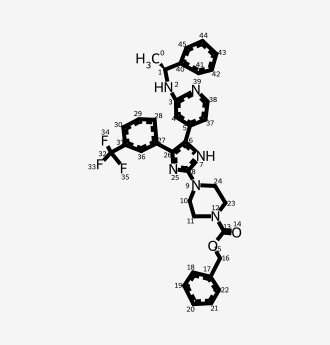 C[C@H](Nc1cc(-c2[nH]c(N3CCN(C(=O)OCc4ccccc4)CC3)nc2-c2cccc(C(F)(F)F)c2)ccn1)c1ccccc1